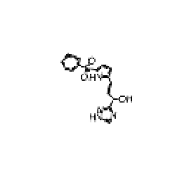 O=S(=O)(c1ccccc1)c1ccc(C=CC(O)c2nc[nH]n2)[nH]1